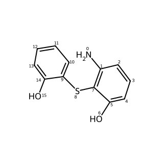 Nc1cccc(O)c1Sc1ccccc1O